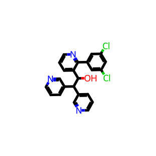 OC(c1cccnc1-c1cc(Cl)cc(Cl)c1)C(c1cccnc1)c1cccnc1